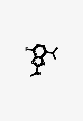 CNc1nc2c(C(C)C)ccc(F)c2o1